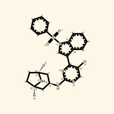 O=S(=O)(c1ccccc1)n1cc(-c2nc(N[C@H]3C[C@H]4CC[C@@H](C3)N4)ncc2Cl)c2ccccc21